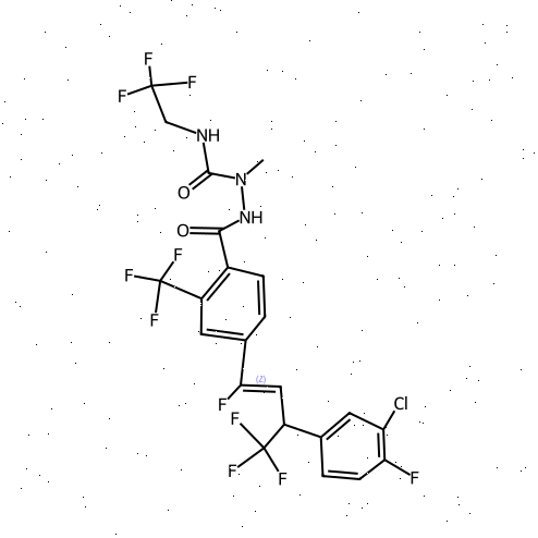 CN(NC(=O)c1ccc(/C(F)=C/C(c2ccc(F)c(Cl)c2)C(F)(F)F)cc1C(F)(F)F)C(=O)NCC(F)(F)F